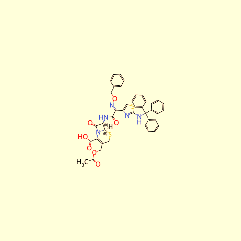 CC(=O)OCC1=C(C(=O)O)N2C(=O)[C@@H](NC(=O)C(=NOCc3ccccc3)c3csc(NC(c4ccccc4)(c4ccccc4)c4ccccc4)n3)[C@H]2SC1